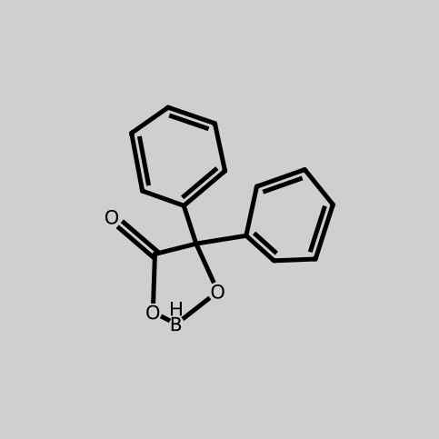 O=C1OBOC1(c1ccccc1)c1ccccc1